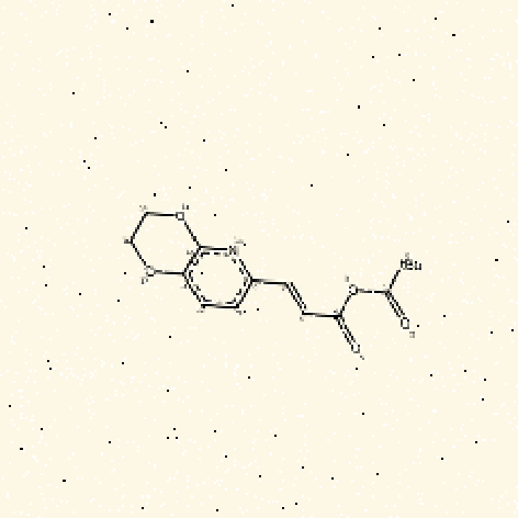 CC(C)(C)C(=O)OC(=O)C=Cc1ccc2c(n1)OCCO2